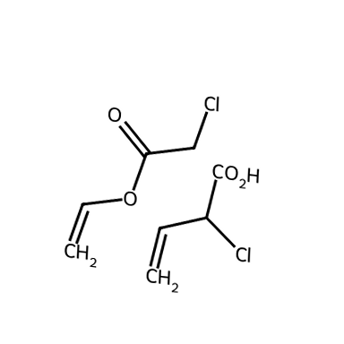 C=CC(Cl)C(=O)O.C=COC(=O)CCl